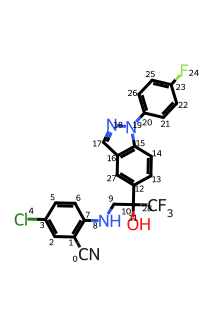 N#Cc1cc(Cl)ccc1NCC(O)(c1ccc2c(cnn2-c2ccc(F)cc2)c1)C(F)(F)F